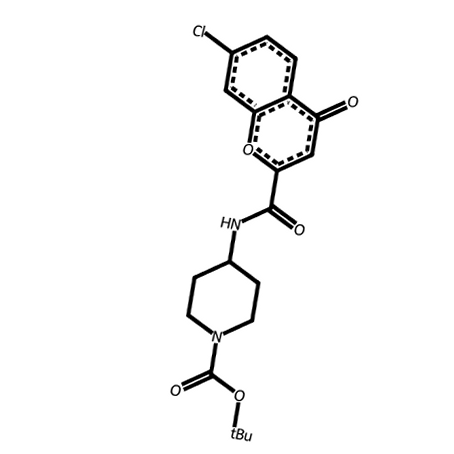 CC(C)(C)OC(=O)N1CCC(NC(=O)c2cc(=O)c3ccc(Cl)cc3o2)CC1